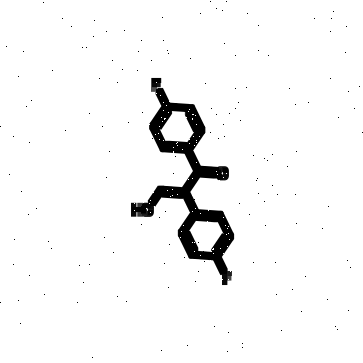 O=C(/C(=C/O)c1ccc(F)cc1)c1ccc(F)cc1